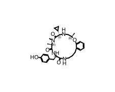 C[C@@H]1CN[C@@H](C2CC2)C(=O)N(C)[C@H](C)C(=O)N[C@H](Cc2ccc(O)cc2)C(=O)NCCCc2ccccc2O1